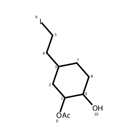 CC(=O)OC1CC(CCI)CCC1O